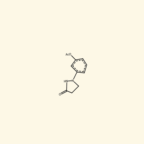 CC(=O)Oc1cccc(N2CCC(=O)N2)c1